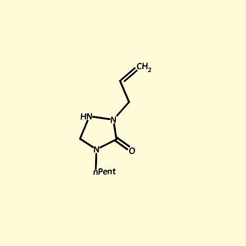 C=CCN1NCN(CCCCC)C1=O